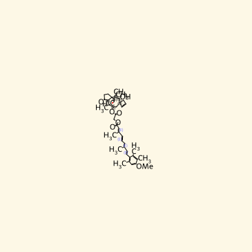 COc1cc(C)c(/C=C/C(C)=C/C=C/C(C)=C/C(=O)OCC(=O)O[C@@H]2C[C@@]3(C=CC3)[C@@H](O)[C@H](C)C34CCC(=O)[C@H]3C2(C)CC[C@H]4C)c(C)c1C